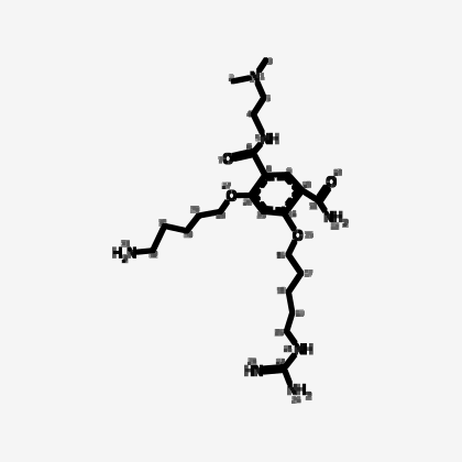 CN(C)CCNC(=O)c1cc(C(N)=O)c(OCCCCCNC(=N)N)cc1OCCCCCN